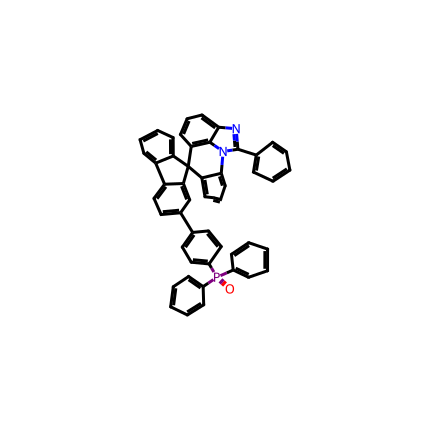 O=P(c1ccccc1)(c1ccccc1)c1ccc(-c2ccc3c(c2)C2(c4ccccc4-3)c3ccccc3-n3c(-c4ccccc4)nc4cccc2c43)cc1